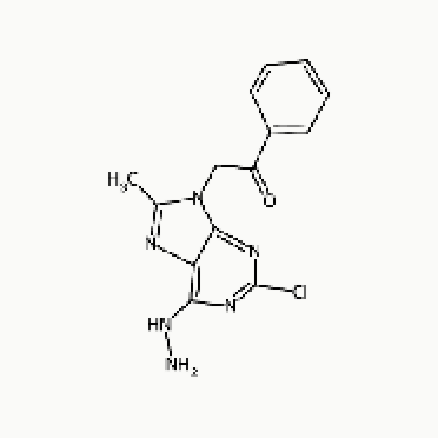 Cc1nc2c(NN)nc(Cl)nc2n1CC(=O)c1ccccc1